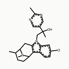 Cc1ncc(C(C)(O)Cn2c3c(c4ccc(Cl)cc42)C2CCC(C)C(C3)N2C)cn1